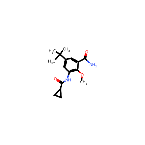 COc1c(NC(=O)C2CC2)cc(C(C)(C)C)cc1C(N)=O